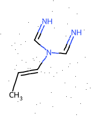 C/C=C/N(C=N)C=N